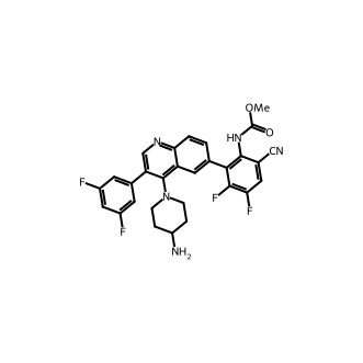 COC(=O)Nc1c(C#N)cc(F)c(F)c1-c1ccc2ncc(-c3cc(F)cc(F)c3)c(N3CCC(N)CC3)c2c1